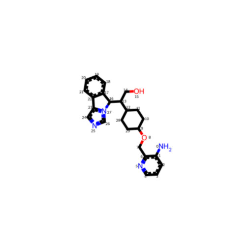 Nc1cccnc1COC1CCC(C(CO)C2c3ccccc3-c3cncn32)CC1